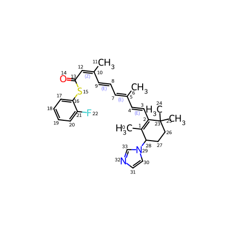 CC1=C(/C=C/C(C)=C/C=C/C(C)=C\C(=O)Sc2ccccc2F)C(C)(C)CCC1n1ccnc1